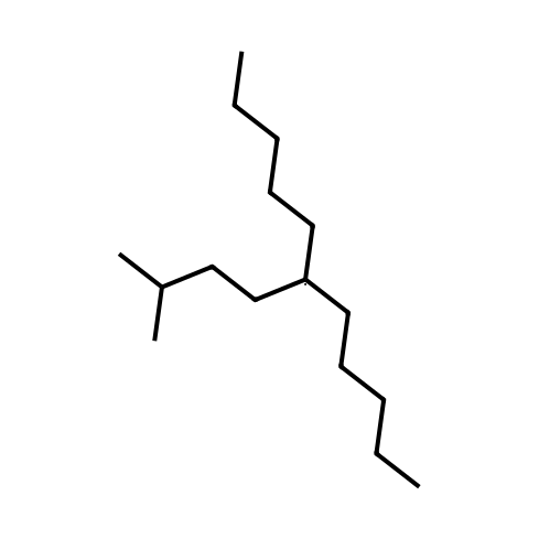 CCCCC[C](CCCCC)CCC(C)C